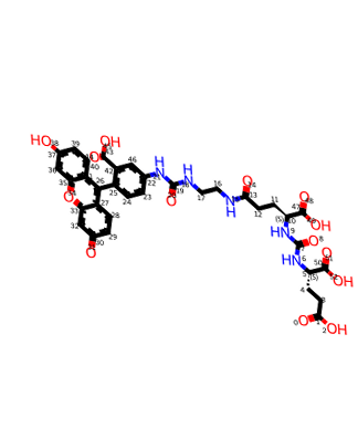 O=C(O)CC[C@H](NC(=O)N[C@@H](CCC(=O)NCCNC(=O)Nc1ccc(-c2c3ccc(=O)cc-3oc3cc(O)ccc23)c(C(=O)O)c1)C(=O)O)C(=O)O